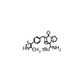 CC1=C(c2ccc(CNC(=O)[C@@H]3CCCN3C(=O)C(N)C(C)(C)C)cc2)SCN1